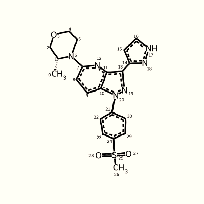 C[C@@H]1COCCN1c1ccc2c(n1)c(-c1cc[nH]n1)nn2-c1ccc(S(C)(=O)=O)cc1